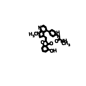 CNC(=O)Nc1ccc(-c2ccnc3c2c(C=C2Oc4cccc(O)c4C2=O)cn3C)cc1